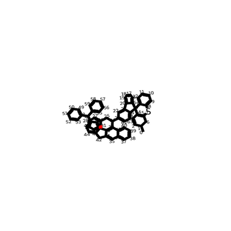 CC1C=CC2=C(C1)Sc1ccccc1C21c2ccccc2-c2cc(C(Cc3ccccc3)c3c4c(cc5ccccc35)Cc3ccc(C(c5ccccc5)c5ccccc5)cc3-4)ccc21